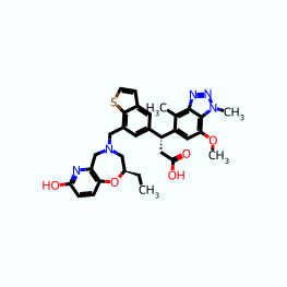 CC[C@@H]1CN(Cc2cc([C@@H](CC(=O)O)c3cc(OC)c4c(nnn4C)c3C)cc3ccsc23)Cc2nc(O)ccc2O1